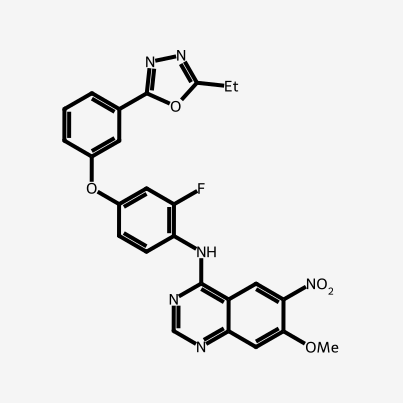 CCc1nnc(-c2cccc(Oc3ccc(Nc4ncnc5cc(OC)c([N+](=O)[O-])cc45)c(F)c3)c2)o1